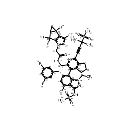 CC(C)(C#Cc1nc([C@H](Cc2cc(F)cc(F)c2)NC(=O)Cn2nc(C(F)(F)F)c3c2C(F)(F)C2C[C@H]32)c(-c2ccc(Cl)c3c(NS(C)(=O)=O)nn(CC(F)(F)F)c23)c2c1CCC2)S(C)(=O)=O